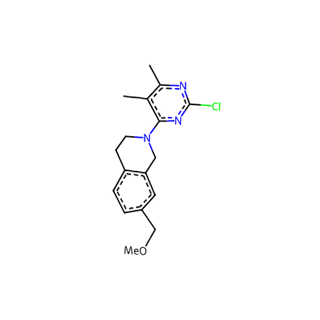 COCc1ccc2c(c1)CN(c1nc(Cl)nc(C)c1C)CC2